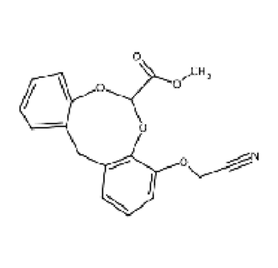 COC(=O)C1Oc2ccccc2Cc2cccc(OCC#N)c2O1